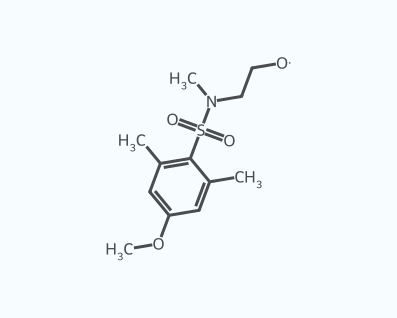 COc1cc(C)c(S(=O)(=O)N(C)CC[O])c(C)c1